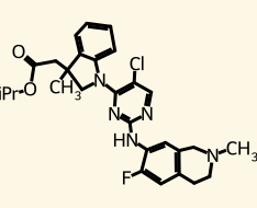 CC(C)OC(=O)CC1(C)CN(c2nc(Nc3cc4c(cc3F)CCN(C)C4)ncc2Cl)c2ccccc21